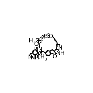 Cc1cc(C[C@H]2NC(=O)c3ccc4c(c3)C[C@]3(C4)C(=O)Nc4ncc(cc43)/C=C/COCCCCN(C)C2=O)cc2cn[nH]c12